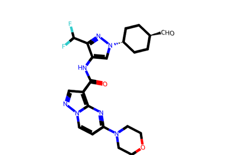 O=C[C@H]1CC[C@H](n2cc(NC(=O)c3cnn4ccc(N5CCOCC5)nc34)c(C(F)F)n2)CC1